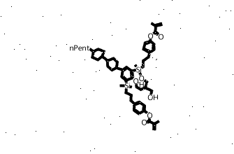 C=C(C)C(=O)Oc1ccc(CCC[Si](C)(C)c2cc(C3CCC(C4CCC(CCCCC)CC4)CC3)cc([Si](C)(C)CCCc3ccc(OC(=O)C(=C)C)cc3)c2OCCC(CO)CO)cc1